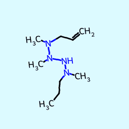 C=CCN(C)N(C)NN(C)CCC